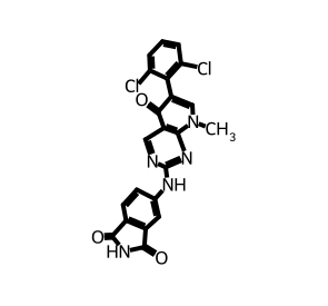 Cn1cc(-c2c(Cl)cccc2Cl)c(=O)c2cnc(Nc3ccc4c(c3)C(=O)NC4=O)nc21